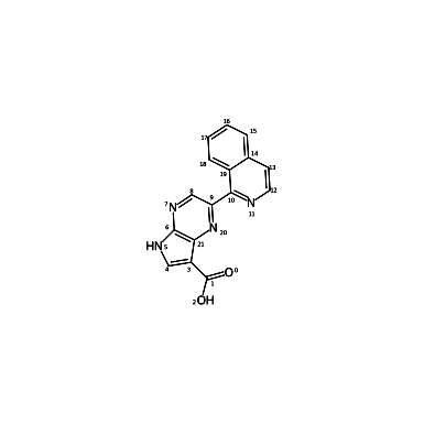 O=C(O)c1c[nH]c2ncc(-c3nccc4ccccc34)nc12